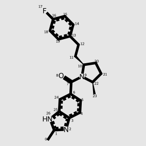 Cc1nc2ccc(C(=O)N3[C@@H](CCc4ccc(F)cc4)CC[C@H]3C)cc2[nH]1